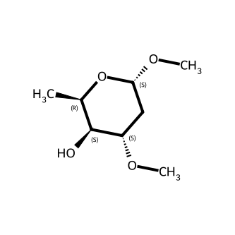 CO[C@@H]1C[C@H](OC)[C@@H](O)[C@@H](C)O1